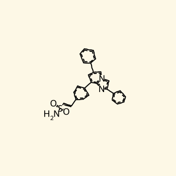 NS(=O)(=O)C=Cc1ccc(-c2cc(-c3ccccc3)cn3cc(-c4ccccc4)nc23)cc1